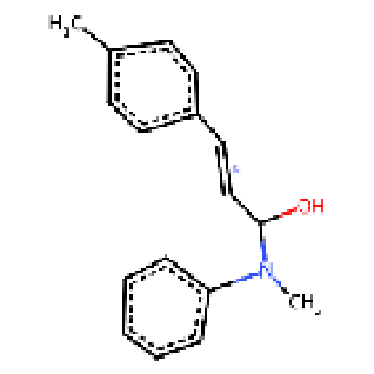 Cc1ccc(/C=C/C(O)N(C)c2ccccc2)cc1